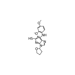 COc1ccc(Nc2nc(S)nc3c2ncn3C2CCCO2)c(OC)c1